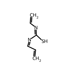 C=C/C=N\C(S)=N/C=C